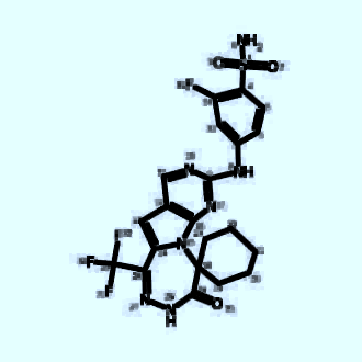 NS(=O)(=O)c1ccc(Nc2ncc3cc4n(c3n2)C2(CCCCC2)C(=O)NN=C4C(F)(F)F)cc1F